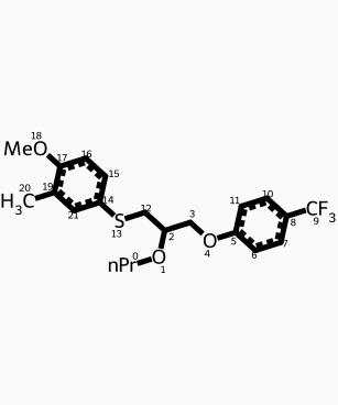 CCCOC(COc1ccc(C(F)(F)F)cc1)CSc1ccc(OC)c(C)c1